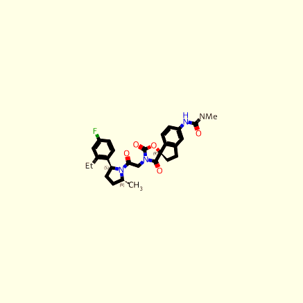 CCc1cc(F)ccc1[C@@H]1CC[C@@H](C)N1C(=O)CN1C(=O)O[C@@]2(CCc3cc(NC(=O)NC)ccc32)C1=O